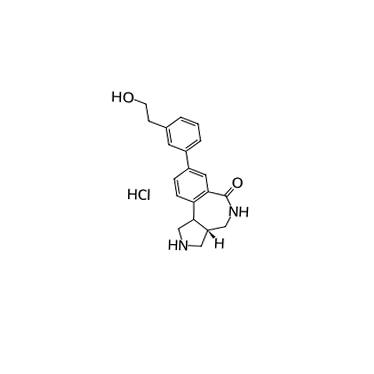 Cl.O=C1NC[C@@H]2CNCC2c2ccc(-c3cccc(CCO)c3)cc21